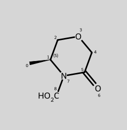 C[C@H]1COCC(=O)N1C(=O)O